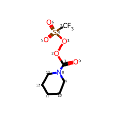 O=C(OOS(=O)(=O)C(F)(F)F)N1CCCCC1